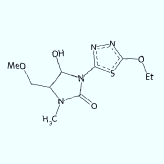 CCOc1nnc(N2C(=O)N(C)C(COC)C2O)s1